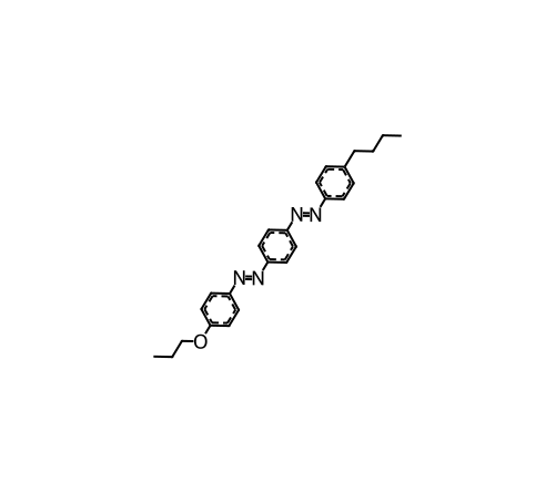 CCCCc1ccc(N=Nc2ccc(N=Nc3ccc(OCCC)cc3)cc2)cc1